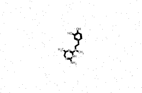 CC1CN=C(N)NC(N(C)CCc2ccc(O)c(O)c2)=N1